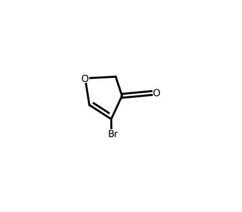 O=C1COC=C1Br